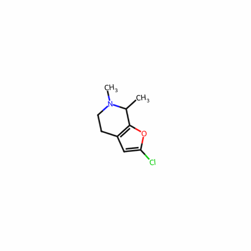 CC1c2oc(Cl)cc2CCN1C